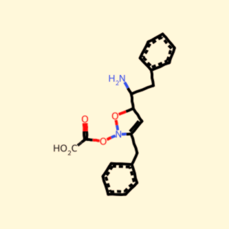 NC(Cc1ccccc1)C1C=C(Cc2ccccc2)N(OC(=O)C(=O)O)O1